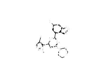 Cc1cnn(C)c1-c1cc(N2CCOC[C@H]2C)nc(-c2cc(F)cc3[nH]ccc23)n1